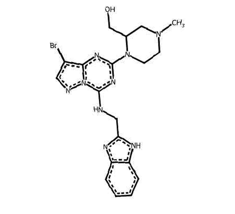 CN1CCN(c2nc(NCc3nc4ccccc4[nH]3)n3ncc(Br)c3n2)C(CO)C1